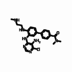 CNCCNc1ccc(-c2ccc(C(=O)N(C)C)cc2)cc1Nc1ncnc(Cl)c1N